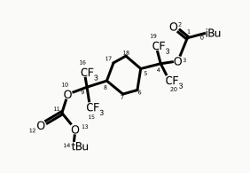 CCC(C)C(=O)OC(C1CCC(C(OC(=O)OC(C)(C)C)(C(F)(F)F)C(F)(F)F)CC1)(C(F)(F)F)C(F)(F)F